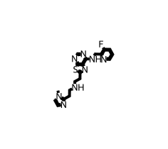 Cn1ccnc1CCNCCc1nc2c(NCc3ncccc3F)ncnc2s1